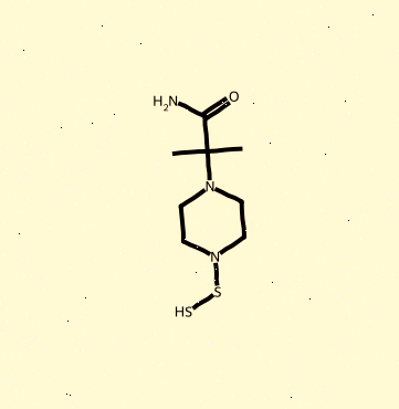 CC(C)(C(N)=O)N1CCN(SS)CC1